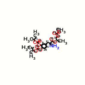 CCC(C)OC(=O)Oc1cc(C[C@H](N)C(=O)OC(C)COC(=O)OC)ccc1OC(=O)O[C@@H](C)CC